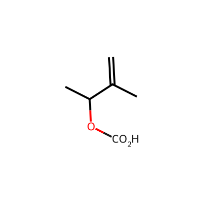 C=C(C)C(C)OC(=O)O